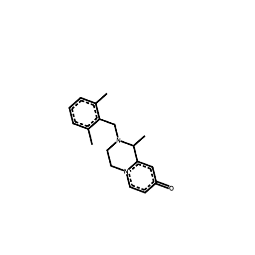 Cc1cccc(C)c1CN1CCn2ccc(=O)cc2C1C